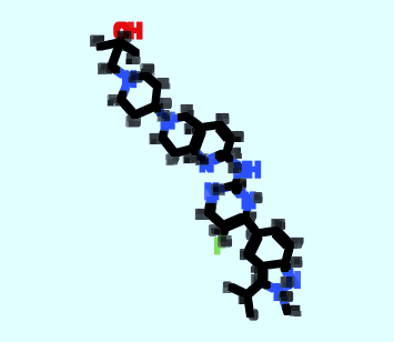 CC(C)c1c2cc(-c3nc(Nc4ccc5c(n4)CCN(C4CCN(CC(C)(C)O)CC4)C5)ncc3F)ccc2nn1C